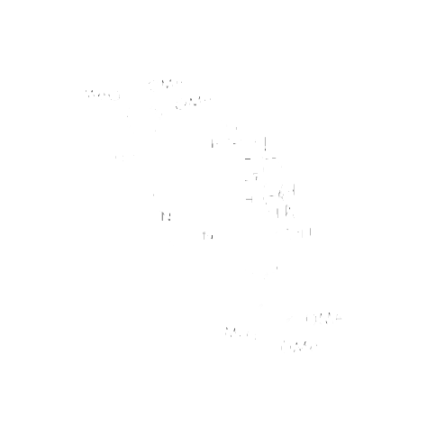 COc1cc(C(=O)OCCCN2CCCN(CCCOC(=O)c3cc(OC)c(OC)c(OC)c3)CC2)cc(OC)c1OC.C[C@]12CC[C@H](O)C[C@@H]1CC[C@@H]1[C@@H]2CC[C@]2(C)C(=O)CC[C@@H]12